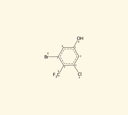 Oc1cc(Cl)c(C(F)(F)F)c(Br)c1